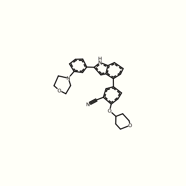 N#Cc1cc(-c2cccc3[nH]c(-c4cccc(N5CCOCC5)c4)cc23)ccc1OC1CCOCC1